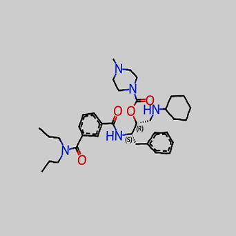 CCCN(CCC)C(=O)c1cccc(C(=O)N[C@@H](Cc2ccccc2)[C@@H](CNC2CCCCC2)OC(=O)N2CCN(C)CC2)c1